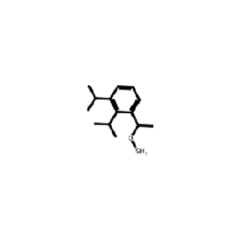 CC(C)c1cccc(C(C)O[SiH3])c1C(C)C